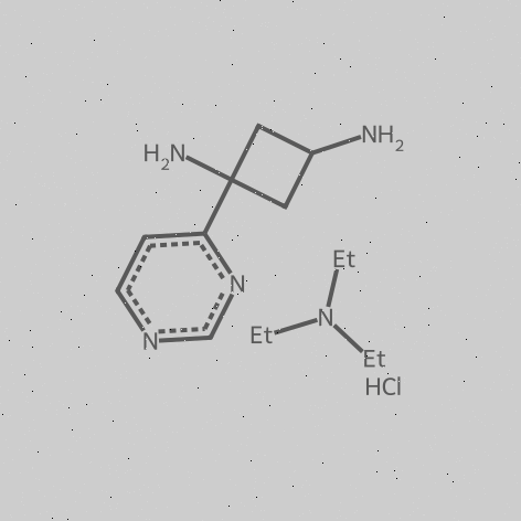 CCN(CC)CC.Cl.NC1CC(N)(c2ccncn2)C1